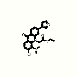 CCOC(=O)Cn1c2cc(-c3ccoc3)ccc2c(=O)c2ccc(Cl)c(N(C)C)c21